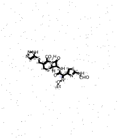 CCO/N=C(\C(=O)NC1C(=O)N2C(C(=O)O)=C(CSc3cnn[nH]3)CS[C@H]12)c1csc(NC=O)n1